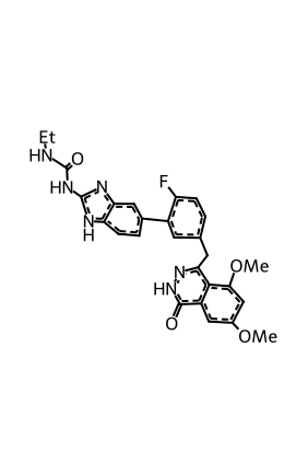 CCNC(=O)Nc1nc2cc(-c3cc(Cc4n[nH]c(=O)c5cc(OC)cc(OC)c45)ccc3F)ccc2[nH]1